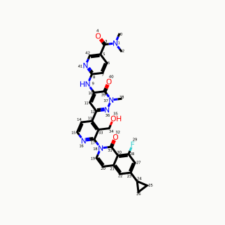 CN(C)C(=O)c1ccc(Nc2cc(-c3ccnc(-n4ccc5cc(C6CC6)cc(F)c5c4=O)c3CO)nn(C)c2=O)nc1